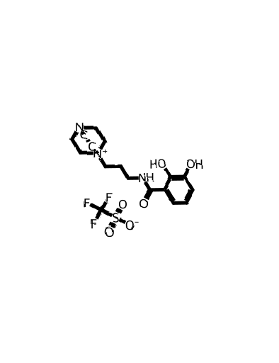 O=C(NCCC[N+]12CCN(CC1)CC2)c1cccc(O)c1O.O=S(=O)([O-])C(F)(F)F